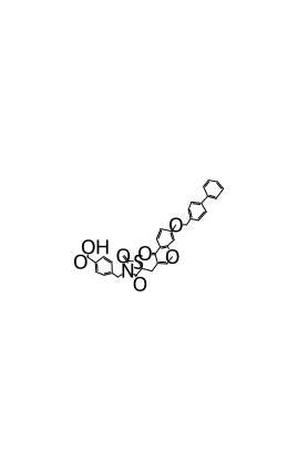 O=C(O)c1ccc(CN2C(=O)SC(Cc3coc4cc(OCc5ccc(-c6ccccc6)cc5)ccc4c3=O)C2=O)cc1